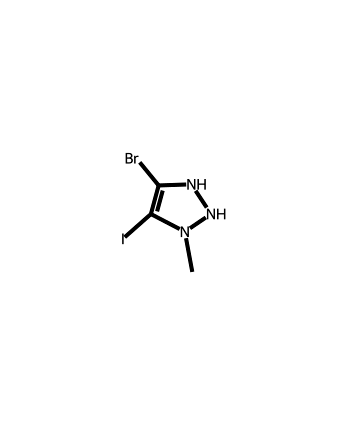 CN1NNC(Br)=C1I